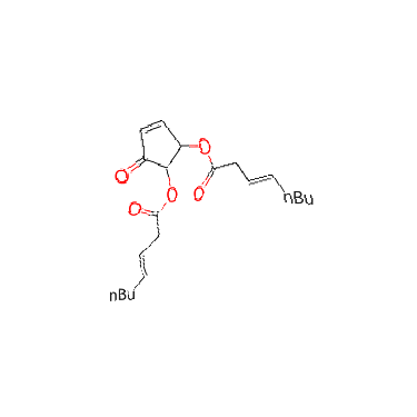 CCCCC=CCC(=O)OC1C=CC(=O)C1OC(=O)CC=CCCCC